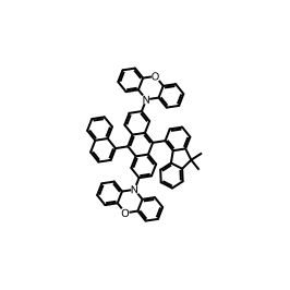 CC1(C)c2ccccc2-c2c(-c3c4cc(N5c6ccccc6Oc6ccccc65)ccc4c(-c4cccc5ccccc45)c4cc(N5c6ccccc6Oc6ccccc65)ccc34)cccc21